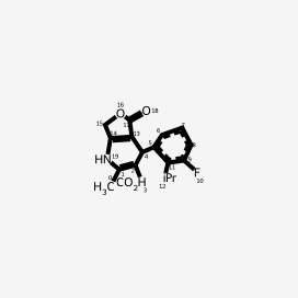 CC1=C(C(=O)O)C(c2cccc(F)c2C(C)C)C2=C(COC2=O)N1